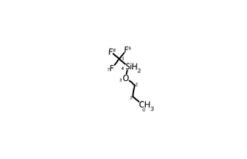 CCCO[SiH2]C(F)(F)F